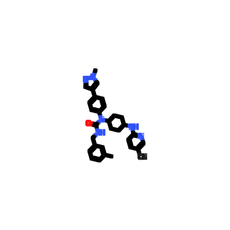 Cc1cccc(CNC(=O)N(c2ccc(-c3cnn(C)c3)cc2)C2CCC(Nc3ccc(C#N)cn3)CC2)c1